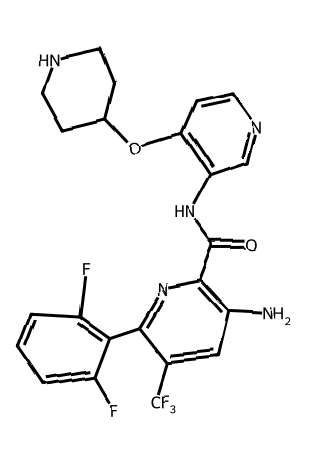 Nc1cc(C(F)(F)F)c(-c2c(F)cccc2F)nc1C(=O)Nc1cnccc1OC1CCNCC1